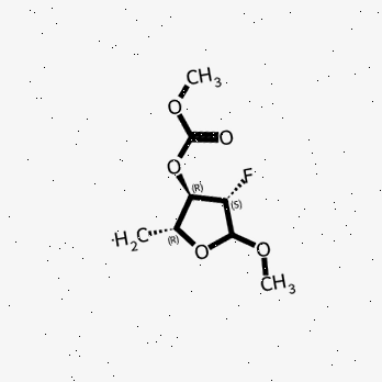 [CH2][C@H]1OC(OC)[C@@H](F)[C@@H]1OC(=O)OC